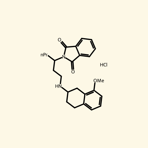 CCCC(CCNC1CCc2cccc(OC)c2C1)N1C(=O)c2ccccc2C1=O.Cl